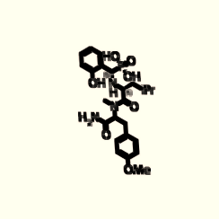 COc1ccc(CC(C(N)=O)N(C)C(=O)[C@H](CC(C)C)N[C@H](c2ccccc2O)P(=O)(O)O)cc1